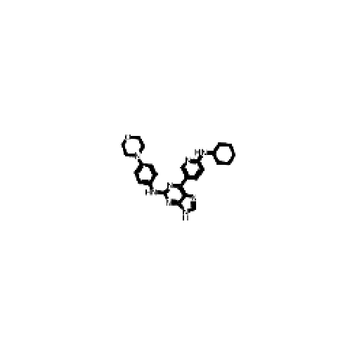 c1nc2c(-c3ccc(NC4CCCCC4)nc3)nc(Nc3ccc(N4CCOCC4)cc3)nc2[nH]1